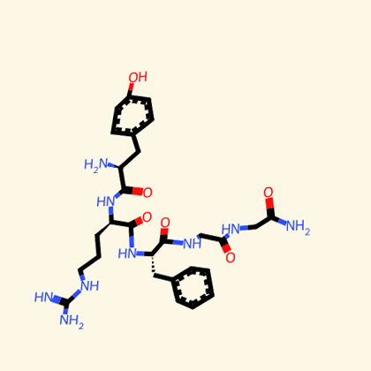 N=C(N)NCCC[C@@H](NC(=O)[C@@H](N)Cc1ccc(O)cc1)C(=O)N[C@@H](Cc1ccccc1)C(=O)NCC(=O)NCC(N)=O